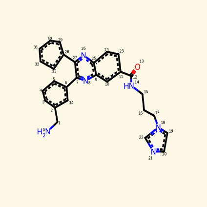 NCc1cccc(-c2nc3cc(C(=O)NCCCn4ccnc4)ccc3nc2-c2ccccc2)c1